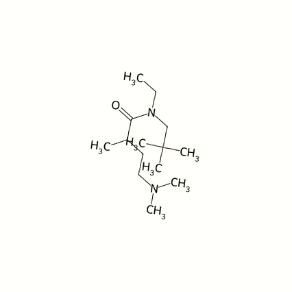 CCN(CC(C)(C)C)C(=O)C(C)CCN(C)C